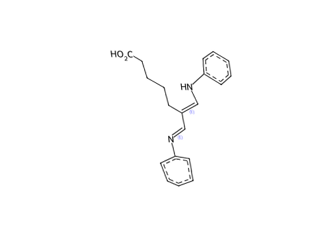 O=C(O)CCCCC(/C=N/c1ccccc1)=C\Nc1ccccc1